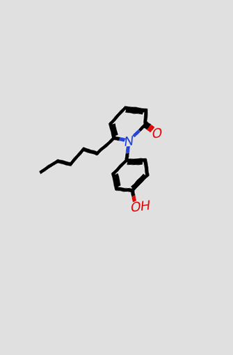 CCCCCc1cccc(=O)n1-c1ccc(O)cc1